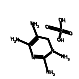 NC1=NC(N)=C(N)CN1N.O=S(=O)(O)O